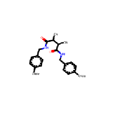 COc1ccc(CNC(=O)C(C#N)C(C#N)C(=O)NCc2ccc(OC)cc2)cc1